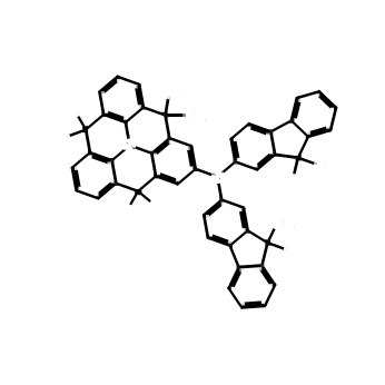 CC1(C)c2ccccc2-c2ccc(N(c3ccc4c(c3)C(C)(C)c3ccccc3-4)c3cc4c5c(c3)C(C)(C)c3cccc6c3N5c3c(cccc3C4(C)C)C6(C)C)cc21